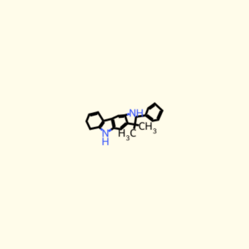 CC1(C)c2cc3[nH]c4c(c3cc2NC1c1ccccc1)C=CCC4